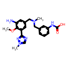 COc1c(N)cc(CN(C)Cc2cccc(NC(=O)O)c2)cc1-c1ncn(C)n1